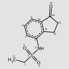 CCS(=O)(=O)Nc1cccc2c1CCC2=O